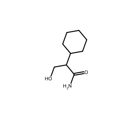 NC(=O)C(CO)C1CCCCC1